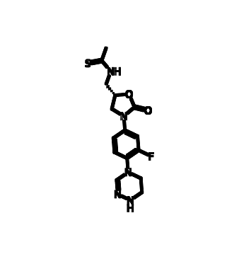 CC(=S)NC[C@H]1CN(c2ccc(N3C=NNCC3)c(F)c2)C(=O)O1